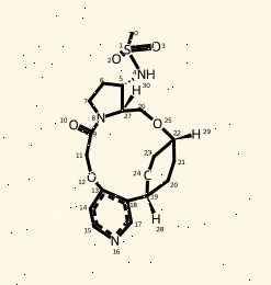 CS(=O)(=O)N[C@H]1CCN2C(=O)COc3ccncc3[C@H]3CC[C@H](CC3)OC[C@@H]12